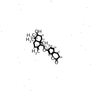 C=C1CCC2C(C)(C)C(O)CCC2(C)C1COc1ccc2c(c1)OC(=O)CC2